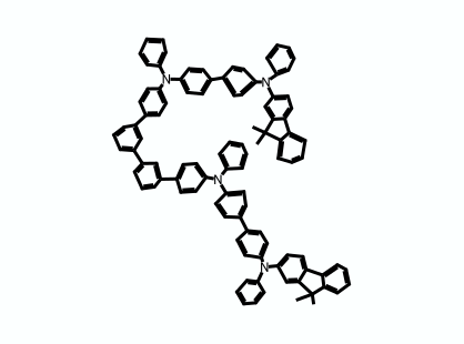 CC1(C)c2ccccc2-c2ccc(N(c3ccccc3)c3ccc(-c4ccc(N(c5ccccc5)c5ccc(-c6cccc(-c7cccc(-c8ccc(N(c9ccccc9)c9ccc(-c%10ccc(N(c%11ccccc%11)c%11ccc%12c(c%11)C(C)(C)c%11ccccc%11-%12)cc%10)cc9)cc8)c7)c6)cc5)cc4)cc3)cc21